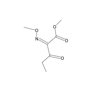 CCC(=O)C(=NOC)C(=O)OC